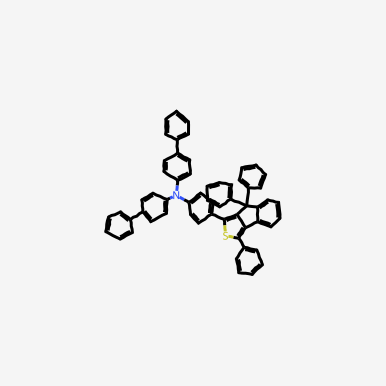 c1ccc(-c2ccc(N(c3ccc(-c4ccccc4)cc3)c3ccc(-c4sc(-c5ccccc5)c5c4C(c4ccccc4)(c4ccccc4)c4ccccc4-5)cc3)cc2)cc1